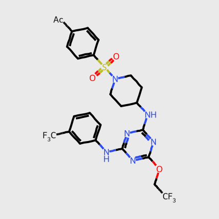 CC(=O)c1ccc(S(=O)(=O)N2CCC(Nc3nc(Nc4cccc(C(F)(F)F)c4)nc(OCC(F)(F)F)n3)CC2)cc1